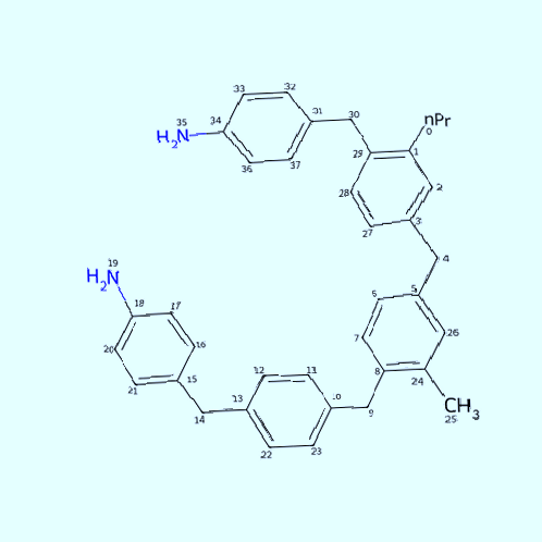 CCCc1cc(Cc2ccc(Cc3ccc(Cc4ccc(N)cc4)cc3)c(C)c2)ccc1Cc1ccc(N)cc1